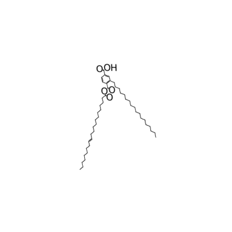 CCCCCCCCC=CCCCCCCCCCCCC(=O)OC(=O)c1ccc(C(=O)O)cc1CCCCCCCCCCCCCCCCCC